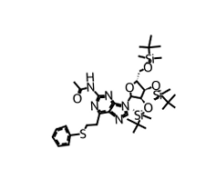 CC(=O)Nc1nc(CCSc2ccccc2)c2ncn(C3O[C@H](CO[Si](C)(C)C(C)(C)C)[C@@H](O[Si](C)(C)C(C)(C)C)[C@H]3O[Si](C)(C)C(C)(C)C)c2n1